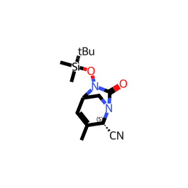 CC1=CC2CN(C(=O)N2O[Si](C)(C)C(C)(C)C)[C@@H]1C#N